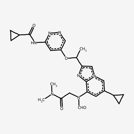 CC(Oc1cnnc(NC(=O)C2CC2)c1)c1cn2cc(C3CC3)cc(N(C=O)CC(=O)N(C)C)c2n1